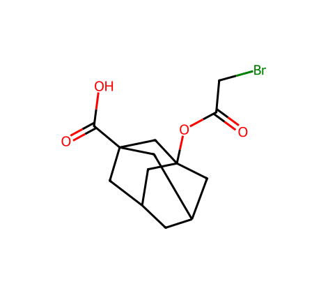 O=C(CBr)OC12CC3CC(C1)CC(C(=O)O)(C3)C2